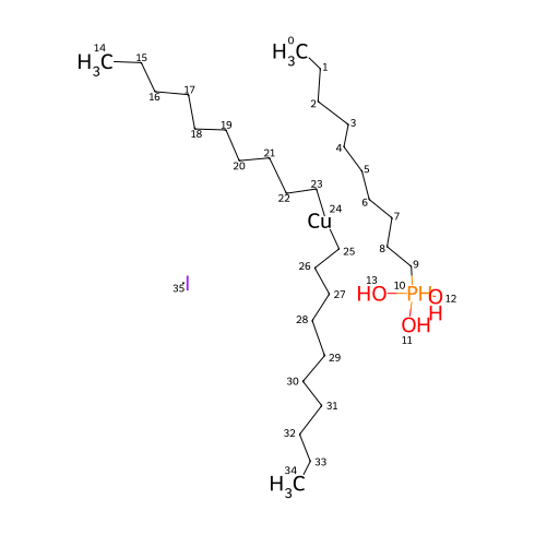 CCCCCCCCCC[PH](O)(O)O.CCCCCCCCC[CH2][Cu][CH2]CCCCCCCCC.[I]